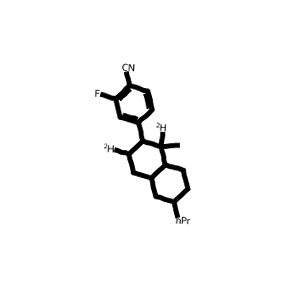 [2H]C1CC2CC(CCC)CCC2C([2H])(C)C1c1ccc(C#N)c(F)c1